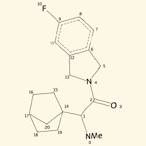 CNC(C(=O)N1Cc2ccc(F)cc2C1)C12CCC(CC1)C2